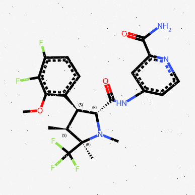 COc1c([C@H]2[C@H](C(=O)Nc3ccnc(C(N)=O)c3)N(C)[C@@](C)(C(F)(F)F)[C@H]2C)ccc(F)c1F